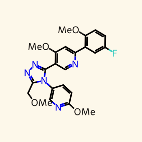 COCc1nnc(-c2cnc(-c3cc(F)ccc3OC)cc2OC)n1-c1ccc(OC)nc1